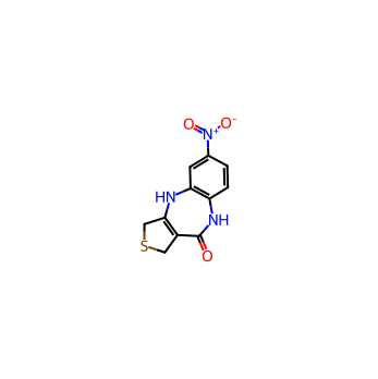 O=C1Nc2ccc([N+](=O)[O-])cc2NC2=C1CSC2